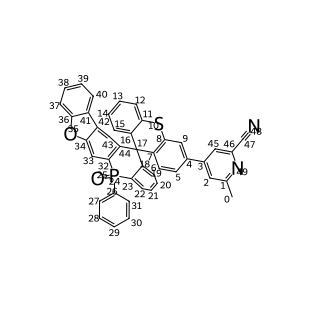 Cc1cc(-c2ccc3c(c2)Sc2ccccc2C32c3ccccc3P(=O)(c3ccccc3)c3cc4oc5ccccc5c4cc32)cc(C#N)n1